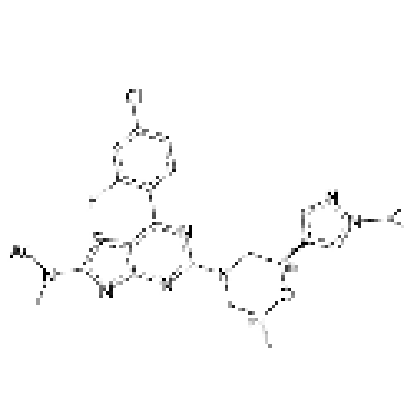 CC(=O)N(C)c1nc2nc(N3C[C@@H](C)O[C@H](c4cnn(C5CC5)c4)C3)nc(-c3ccc(Cl)cc3F)c2s1